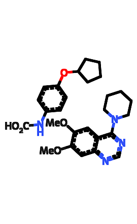 COc1cc2ncnc(N3CCCCC3)c2cc1OC.O=C(O)Nc1ccc(OC2CCCC2)cc1